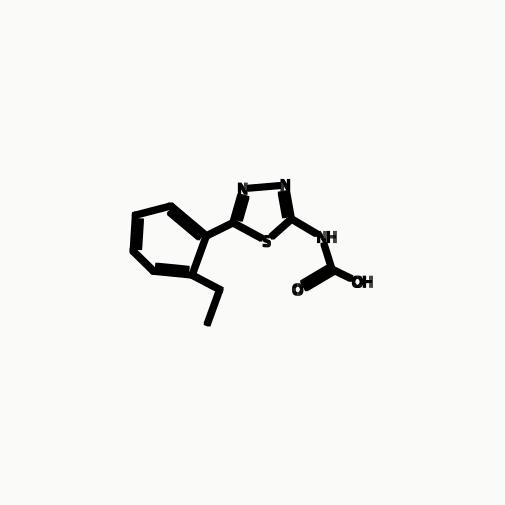 CCc1ccccc1-c1nnc(NC(=O)O)s1